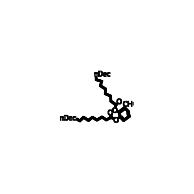 [CH]c1cccc(OC(=O)CCCCCCCCCCCCCCCCC)c1OC(=O)CCCCCCCCCCCCCCCCC